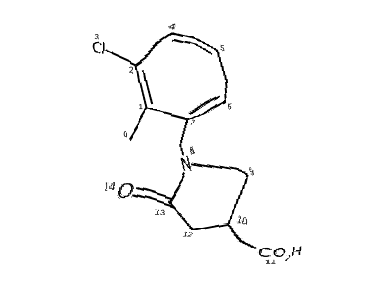 Cc1c(Cl)cccc1N1CC(C(=O)O)CC1=O